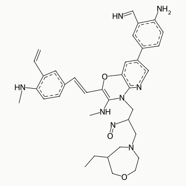 C=Cc1cc(/C=C/C2=C(NC)N(CC(CN3CCOCC(CC)C3)N=O)c3ncc(-c4ccc(N)c(C=N)c4)cc3O2)ccc1NC